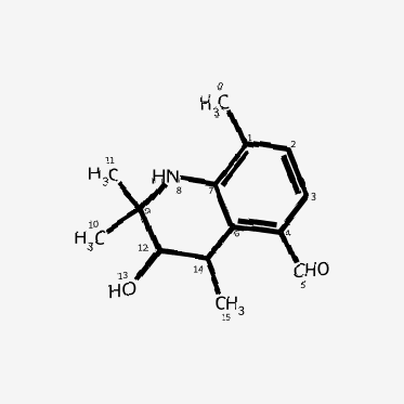 Cc1ccc(C=O)c2c1NC(C)(C)C(O)C2C